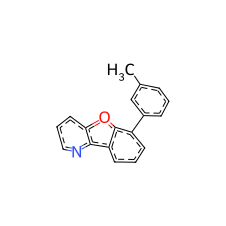 Cc1cccc(-c2cccc3c2oc2cccnc23)c1